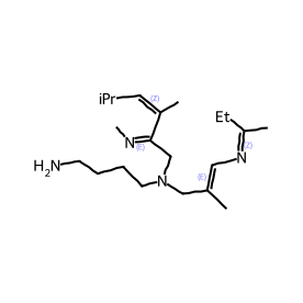 CC/C(C)=N\C=C(/C)CN(CCCCN)CC(=N/C)/C(C)=C\C(C)C